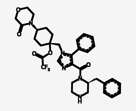 O=C(c1ncn(C[C@]2(OC(=O)C(F)(F)F)CC[C@H](N3CCOCC3=O)CC2)c1-c1ccccc1)N1CCNC[C@H]1Cc1ccccc1